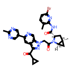 Cc1ncc(-c2cc3c(C(=O)C4CC4)nn(CC(=O)N4[C@H](C(=O)Nc5nc(Br)ccc5C)C[C@@]5(C)C[C@@H]45)c3cn2)cn1